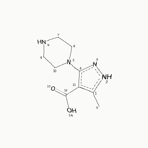 Cc1[nH]nc(N2CCNCC2)c1C(=O)O